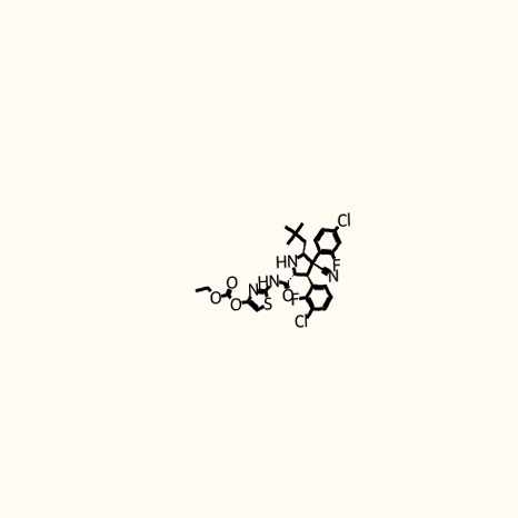 CCOC(=O)Oc1csc(NC(=O)[C@@H]2N[C@@H](CC(C)(C)C)[C@](C#N)(c3ccc(Cl)cc3F)[C@H]2c2cccc(Cl)c2F)n1